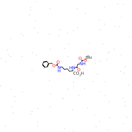 CC(C)(C)OC(=O)NCC(=O)N[C@@H](CCCCNC(=O)OCc1ccccc1)C(=O)O